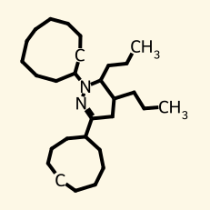 CCCC1CC(C2CCCCCCCC2)=NN(C2CCCCCCCCC2)C1CCC